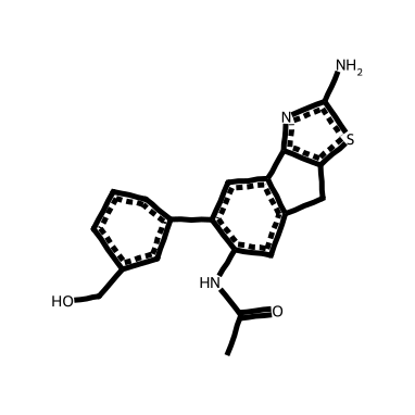 CC(=O)Nc1cc2c(cc1-c1cccc(CO)c1)-c1nc(N)sc1C2